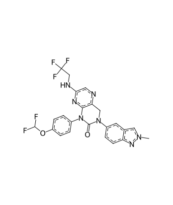 Cn1cc2cc(N3Cc4ncc(NCC(F)(F)F)nc4N(c4ccc(OC(F)F)cc4)C3=O)ccc2n1